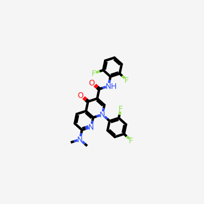 CN(C)c1ccc2c(=O)c(C(=O)Nc3c(F)cccc3F)cn(-c3ccc(F)cc3F)c2n1